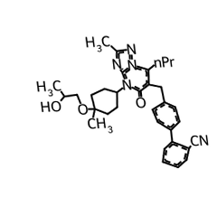 CCCc1c(Cc2ccc(-c3ccccc3C#N)cc2)c(=O)n(C2CCC(C)(OCC(C)O)CC2)c2nc(C)nn12